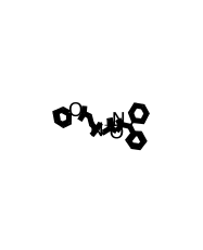 CC(C)(CC[N+](C)(C)Cc1cnc([C@H](c2ccccc2)C2CCCCC2)o1)Oc1ccccc1